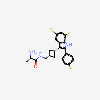 C[C@@H](N)C(=O)NC[C@H]1C[C@H](c2c(-c3ccc(F)cc3)[nH]c3c(F)cc(F)cc32)C1